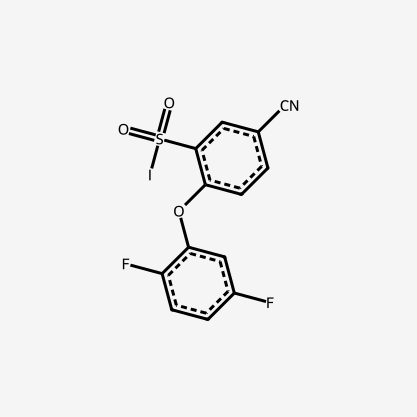 N#Cc1ccc(Oc2cc(F)ccc2F)c(S(=O)(=O)I)c1